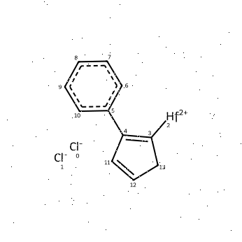 [Cl-].[Cl-].[Hf+2][C]1=C(c2ccccc2)C=CC1